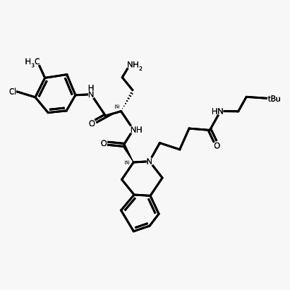 Cc1cc(NC(=O)[C@H](CCN)NC(=O)[C@@H]2Cc3ccccc3CN2CCCC(=O)NCCC(C)(C)C)ccc1Cl